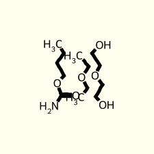 CCCCOC(N)=O.CCOCC.OCCOCCO